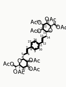 CC(=O)OC[C@H]1O[C@H](C/C=C/c2ccc(/C=C/C[C@H]3O[C@H](COC(C)=O)[C@@H](OC(C)=O)[C@H](OC(C)=O)[C@@H]3OC(C)=O)cc2)[C@@H](OC(C)=O)[C@@H](OC(C)=O)[C@@H]1OC(C)=O